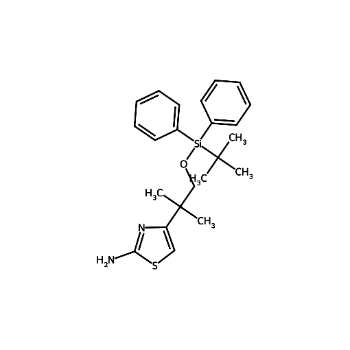 CC(C)(CO[Si](c1ccccc1)(c1ccccc1)C(C)(C)C)c1csc(N)n1